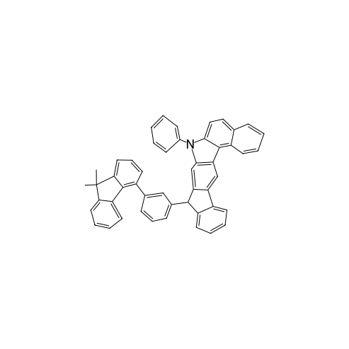 CC1(C)c2ccccc2-c2c(-c3cccc(C4c5ccccc5-c5cc6c7c8ccccc8ccc7n(-c7ccccc7)c6cc54)c3)cccc21